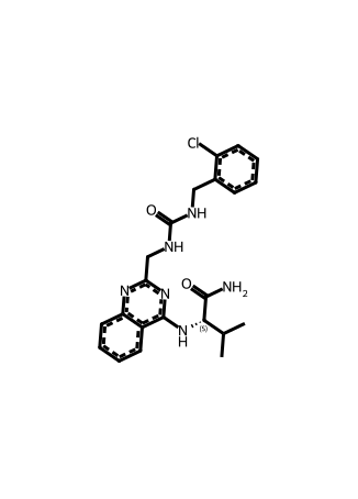 CC(C)[C@H](Nc1nc(CNC(=O)NCc2ccccc2Cl)nc2ccccc12)C(N)=O